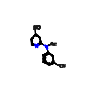 CC(=O)N(c1cccc(C#N)c1)c1cc(N=O)ccn1